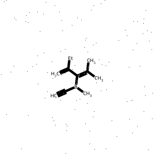 C#CB(C)C(C(=C)CC)=C(C)C